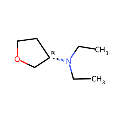 CCN(CC)[C@H]1CCOC1